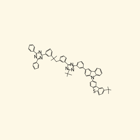 CC(C)(C)c1ccc2sc3ccc(-n4c5ccccc5c5cc(-c6cccc(-c7nc(-c8cccc(CC(C)(C)c9cccc(-c%10nc(-c%11ccccc%11)nc(-c%11ccccc%11)n%10)c9)c8)nc(C(C)(C)C)n7)c6)ccc54)cc3c2c1